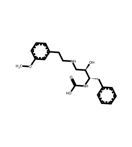 COc1cccc(CCNC[C@@H](O)[C@H](Cc2ccccc2)NC(=O)O)c1